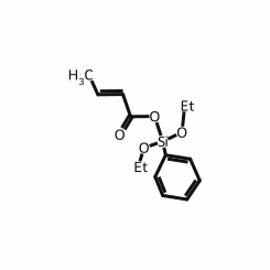 CC=CC(=O)O[Si](OCC)(OCC)c1ccccc1